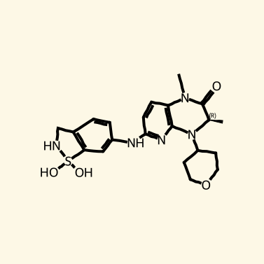 C[C@@H]1C(=O)N(C)c2ccc(Nc3ccc4c(c3)S(O)(O)NC4)nc2N1C1CCOCC1